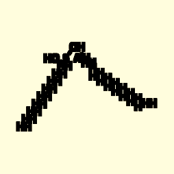 O=S(=O)(O)O.[AlH3].[HH].[HH].[HH].[HH].[HH].[HH].[HH].[HH].[HH].[HH].[HH].[HH].[HH].[HH].[HH].[HH].[HH].[HH]